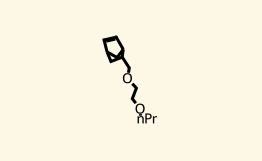 CCCOCCOCC1CC2C=CC1C2